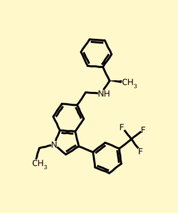 CCn1cc(-c2cccc(C(F)(F)F)c2)c2cc(CN[C@H](C)c3ccccc3)ccc21